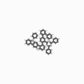 c1ccc(-c2nc(-c3ccccc3)nc(-c3cc(-c4ccccc4-c4ccccc4)ccc3-c3cccc4oc5cc6c7ccccc7n(-c7ccccc7)c6cc5c34)n2)cc1